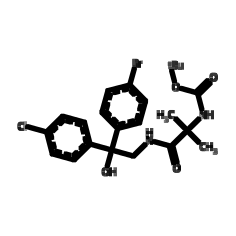 CC(C)(C)OC(=O)NC(C)(C)C(=O)NCC(O)(c1ccc(Cl)cc1)c1ccc(Br)cc1